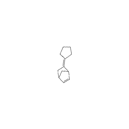 C1=CC2CC1CC2=C1CCCC1